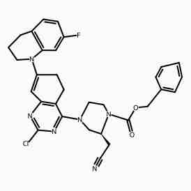 N#CC[C@H]1CN(c2nc(Cl)nc3c2CCC(N2CCCc4ccc(F)cc42)=C3)CCN1C(=O)OCc1ccccc1